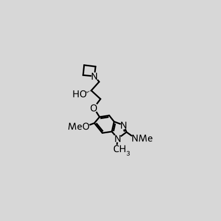 CNc1nc2cc(OC[C@H](O)CN3CCC3)c(OC)cc2n1C